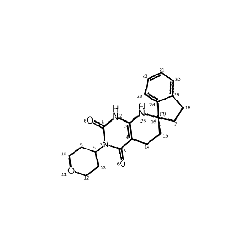 O=c1[nH]c2c(c(=O)n1C1CCOCC1)CC[C@@]1(CCc3ccccc31)N2